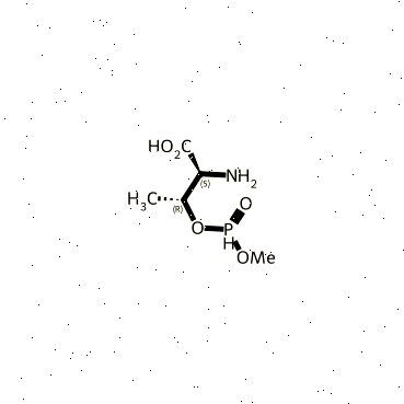 CO[PH](=O)O[C@H](C)[C@H](N)C(=O)O